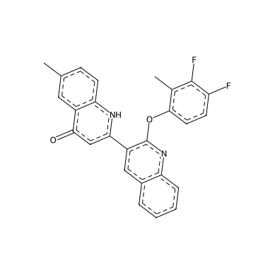 Cc1ccc2[nH]c(-c3cc4ccccc4nc3Oc3ccc(F)c(F)c3C)cc(=O)c2c1